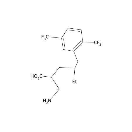 CCC(Cc1cc(C(F)(F)F)ccc1C(F)(F)F)CC(CN)C(=O)O